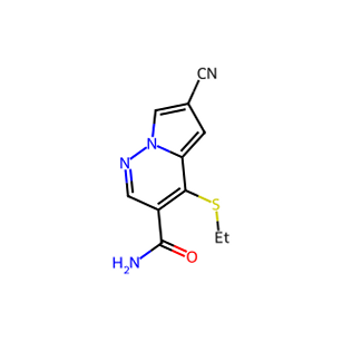 CCSc1c(C(N)=O)cnn2cc(C#N)cc12